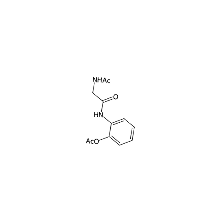 CC(=O)NCC(=O)Nc1ccccc1OC(C)=O